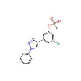 O=S(=O)(F)Oc1cc(Br)cc(-c2cn(-c3ccccc3)nn2)c1